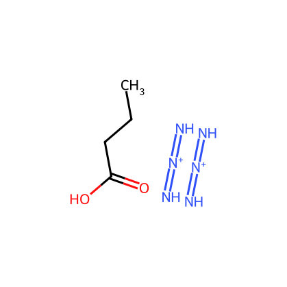 CCCC(=O)O.N=[N+]=N.N=[N+]=N